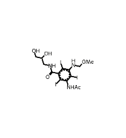 COCNc1c(I)c(NC(C)=O)c(I)c(C(=O)NCC(O)CO)c1I